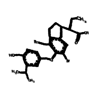 CCC(C(=O)O)C1CCc2c1cc(Br)c(Oc1ccc(O)c(C(C)C)c1)c2Br